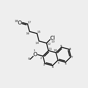 COc1ccc2ccccc2c1C(Cl)CCCC=O